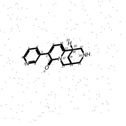 O=c1c(-c2cccnc2)ccc2n1CC1CNC[C@@H]2C1